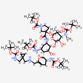 CN(C(=O)OC(C)(C)C)[C@@H]1[C@@H](O)[C@@H](O[C@H]2[C@H](NC(=O)C3(O)CCN(C(=O)OC(C)(C)C)C3)C[C@H](NC(=O)OC(C)(C)C)C([C@H]3OC(CNCC4(CNC(=O)OC(C)(C)C)CC4)=CC[C@H]3NC(=O)OC(C)(C)C)[C@@H]2O)OC[C@]1(C)O